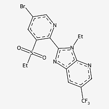 CCn1c(-c2ncc(Br)cc2S(=O)(=O)CC)nc2cc(C(F)(F)F)cnc21